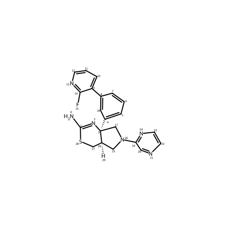 NC1=N[C@@]2(c3cccc(-c4cccnc4F)c3)CN(c3cnccn3)C[C@H]2CS1